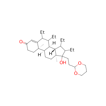 CCC1C2=CC(=O)CC[C@]2(C)[C@@H]2CC[C@@]3(C)[C@@H](C(CC)C(CC)C3(O)CCC3OCCCO3)[C@@H]2C1CC